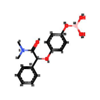 CN(C)C(=O)C(Oc1ccc(OB(O)O)cc1)c1ccccc1